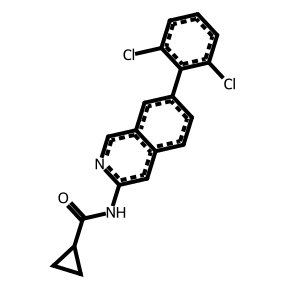 O=C(Nc1cc2ccc(-c3c(Cl)cccc3Cl)cc2cn1)C1CC1